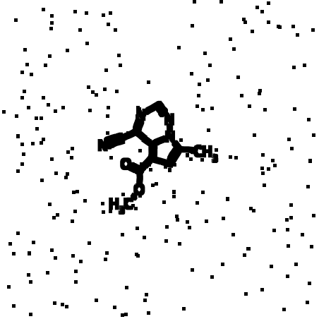 COC(=O)c1cc(C)n2ncnc(C#N)c12